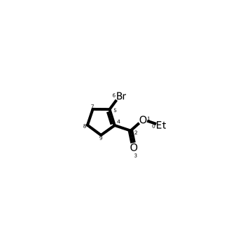 CCOC(=O)C1=C(Br)CCC1